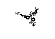 C=CC(=O)Nc1cccc(-n2c(NC(=O)c3ccc(C(F)F)s3)nc3cc(CNCCCO)ccc32)c1